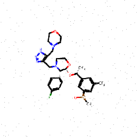 C[C@@H](O[C@H]1OCCN(Cc2nn[nH]c2CN2CCOCC2)[C@H]1c1ccc(F)cc1)c1cc([S+](C)[O-])cc(C(F)(F)F)c1